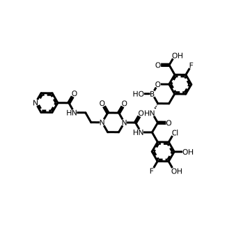 O=C(NCCN1CCN(C(=O)NC(C(=O)N[C@H]2Cc3ccc(F)c(C(=O)O)c3OB2O)c2cc(F)c(O)c(O)c2Cl)C(=O)C1=O)c1ccncc1